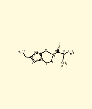 CCc1nc2c(s1)CCN(C(=O)N(C)C)C2